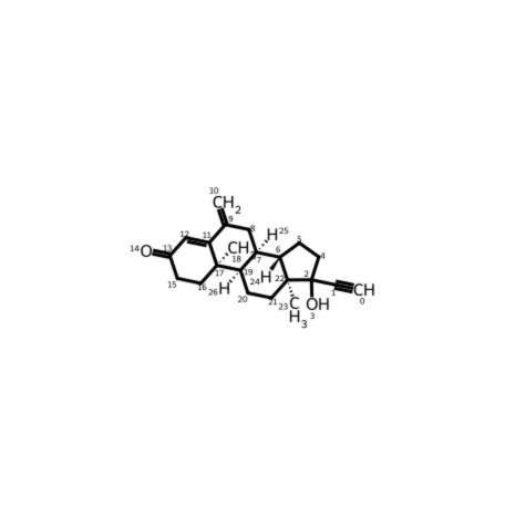 C#CC1(O)CC[C@H]2[C@@H]3CC(=C)C4=CC(=O)CC[C@]4(C)[C@@H]3CC[C@@]21C